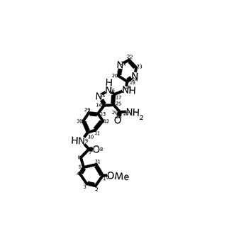 COc1cccc(CC(=O)Nc2ccc(-c3n[nH]c(Nc4cnccn4)c3C(N)=O)cc2)c1